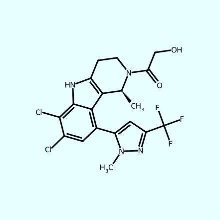 C[C@H]1c2c([nH]c3c(Cl)c(Cl)cc(-c4cc(C(F)(F)F)nn4C)c23)CCN1C(=O)CO